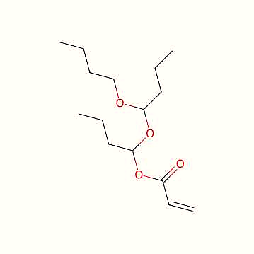 C=CC(=O)OC(CCC)OC(CCC)OCCCC